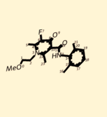 COCCn1c(C)c(F)c(=O)c(C(=O)Nc2c(C)cccc2C)c1C